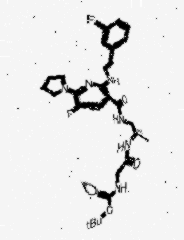 C[C@H](CNC(=O)c1cc(F)c(N2CCCC2)nc1NCCc1cccc(F)c1)NC(=O)CNC(=O)OC(C)(C)C